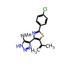 C=C(C)c1sc(-c2ccc(Cl)cc2)nc1-c1nn[nH]c1NC